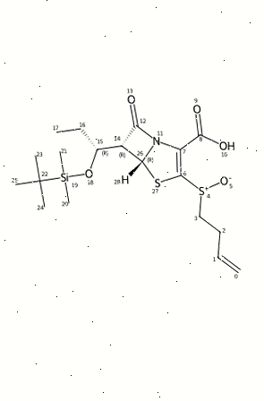 C=CCC[S+]([O-])C1=C(C(=O)O)N2C(=O)[C@@H]([C@@H](CC)O[Si](C)(C)C(C)(C)C)[C@H]2S1